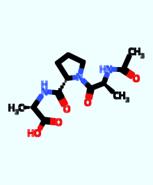 CC(=O)N[C@@H](C)C(=O)N1CCC[C@H]1C(=O)N[C@@H](C)C(=O)O